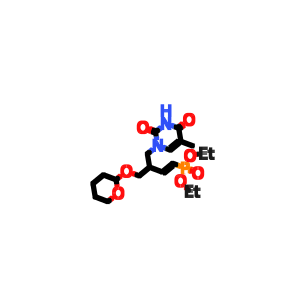 CCOP(=O)(C=CC(COC1CCCCO1)Cn1cc(C)c(=O)[nH]c1=O)OCC